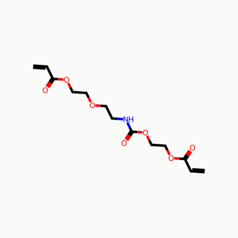 C=CC(=O)OCCOCCNC(=O)OCCOC(=O)C=C